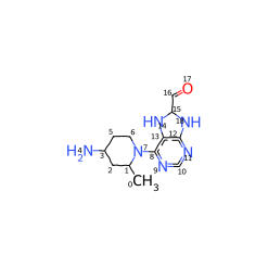 CC1CC(N)CCN1c1ncnc2c1NC(C=O)N2